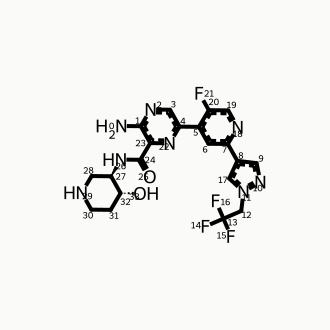 Nc1ncc(-c2cc(-c3cnn(CC(F)(F)F)c3)ncc2F)nc1C(=O)N[C@@H]1CNCC[C@H]1O